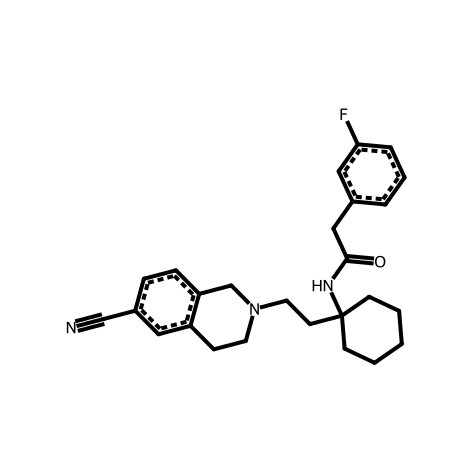 N#Cc1ccc2c(c1)CCN(CCC1(NC(=O)Cc3cccc(F)c3)CCCCC1)C2